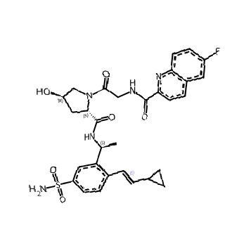 C[C@H](NC(=O)[C@@H]1C[C@@H](O)CN1C(=O)CNC(=O)c1ccc2cc(F)ccc2n1)c1cc(S(N)(=O)=O)ccc1/C=C/C1CC1